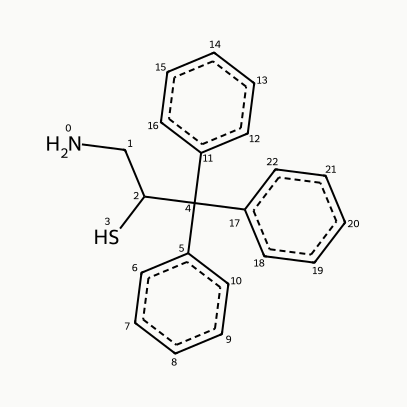 NCC(S)C(c1ccccc1)(c1ccccc1)c1ccccc1